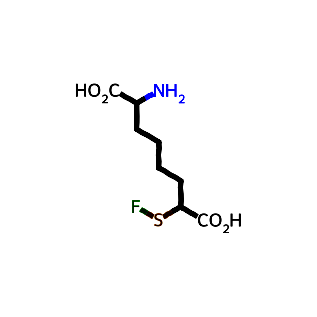 NC(CCCCC(SF)C(=O)O)C(=O)O